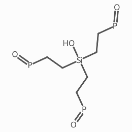 O=PCC[Si](O)(CCP=O)CCP=O